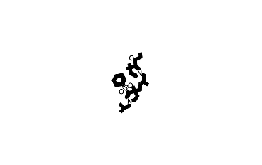 CCC(=O)C1=CN(CC(C)CCC2(C)CCN(CC(C)C)C=C2S(=O)(=O)c2ccccc2)C=CC1(C)C